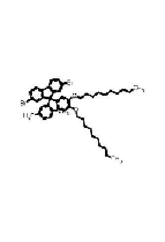 CCCCCCCCCCOc1ccc(C2(c3cc(C)ccc3C)c3cc(Br)ccc3-c3ccc(Br)cc32)cc1OCCCCCCCCCC